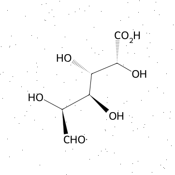 O=[C][C@@H](O)[C@H](O)[C@H](O)[C@@H](O)C(=O)O